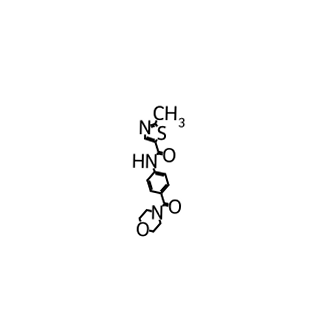 Cc1ncc(C(=O)Nc2ccc(C(=O)N3CCOCC3)cc2)s1